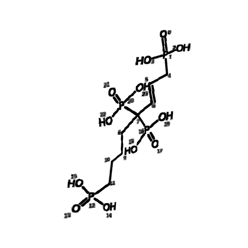 O=P(O)(O)CC=CC(CCCCP(=O)(O)O)(P(=O)(O)O)P(=O)(O)O